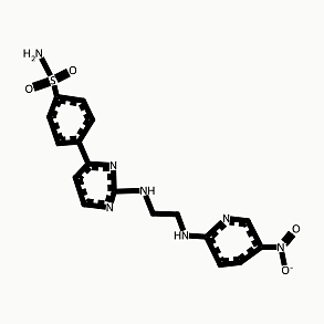 NS(=O)(=O)c1ccc(-c2ccnc(NCCNc3ccc([N+](=O)[O-])cn3)n2)cc1